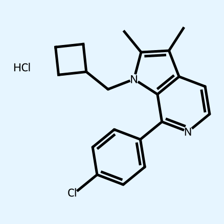 Cc1c(C)n(CC2CCC2)c2c(-c3ccc(Cl)cc3)nccc12.Cl